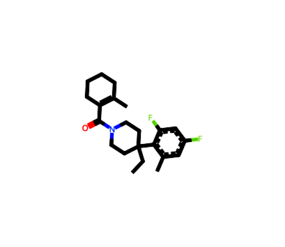 CCC1(c2c(C)cc(F)cc2F)CCN(C(=O)C2=C(C)CCCC2)CC1